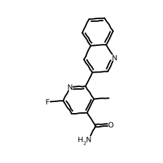 Cc1c(C(N)=O)cc(F)nc1-c1cnc2ccccc2c1